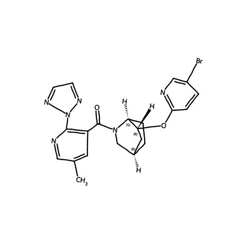 Cc1cnc(-n2nccn2)c(C(=O)N2C[C@@H]3CC[C@H]2[C@H](Oc2ccc(Br)cn2)C3)c1